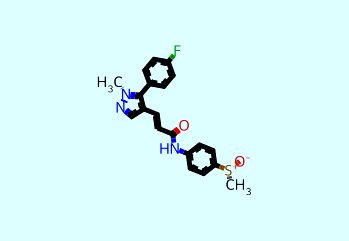 Cn1ncc(C=CC(=O)Nc2ccc([S+](C)[O-])cc2)c1-c1ccc(F)cc1